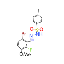 COc1ccc(Br)c(/C=N/NS(=O)(=O)c2ccc(C)cc2)c1F